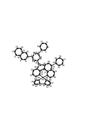 c1ccc(-c2nc(-c3ccc4ccccc4c3)nc(-n3c4cccc5c4c4c6c(cccc6c(-c6ccccc6)cc43)C53c4ccccc4-c4ccccc43)n2)cc1